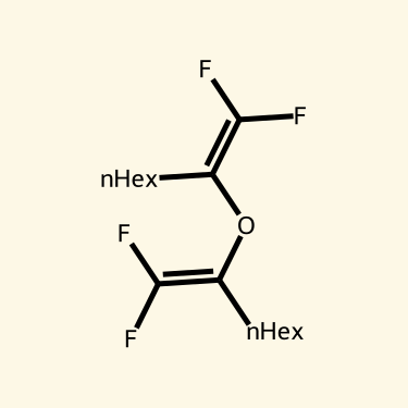 CCCCCCC(OC(CCCCCC)=C(F)F)=C(F)F